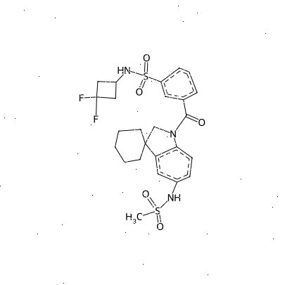 CS(=O)(=O)Nc1ccc2c(c1)C1(CCCCC1)CN2C(=O)c1cccc(S(=O)(=O)NC2CC(F)(F)C2)c1